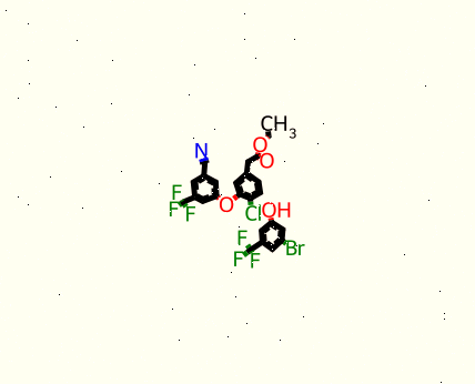 CCOC(=O)Cc1ccc(Cl)c(Oc2cc(C#N)cc(C(F)(F)F)c2)c1.Oc1cc(Br)cc(C(F)(F)F)c1